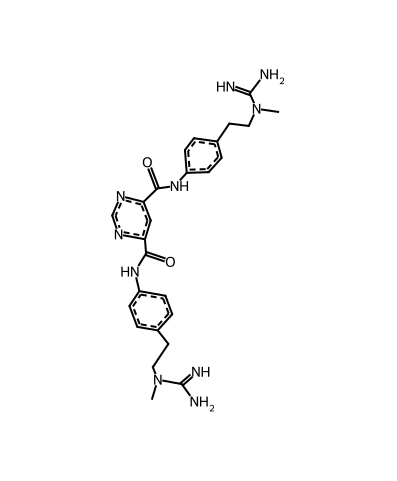 CN(CCc1ccc(NC(=O)c2cc(C(=O)Nc3ccc(CCN(C)C(=N)N)cc3)ncn2)cc1)C(=N)N